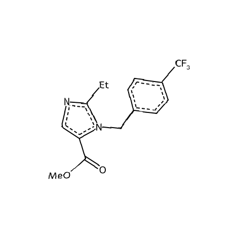 CCc1ncc(C(=O)OC)n1Cc1ccc(C(F)(F)F)cc1